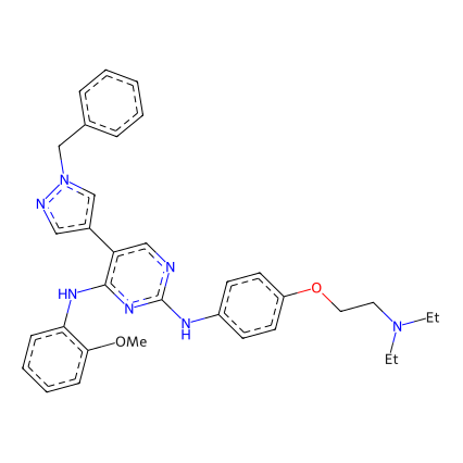 CCN(CC)CCOc1ccc(Nc2ncc(-c3cnn(Cc4ccccc4)c3)c(Nc3ccccc3OC)n2)cc1